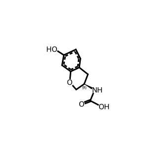 O=C(O)N[C@H]1COc2cc(O)ccc2C1